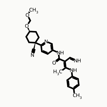 COCO[C@H]1CC[C@](C#N)(c2ccc(NC(=O)/C(C=N)=C(\C)Nc3ccc(C)cc3)cn2)CC1